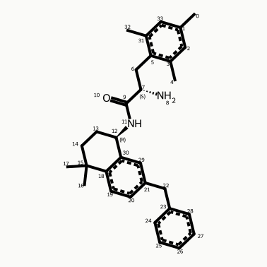 Cc1cc(C)c(C[C@H](N)C(=O)N[C@@H]2CCC(C)(C)c3ccc(Cc4ccccc4)cc32)c(C)c1